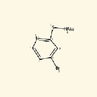 CNSc1cc(Br)ccn1